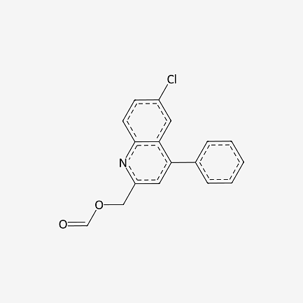 O=COCc1cc(-c2ccccc2)c2cc(Cl)ccc2n1